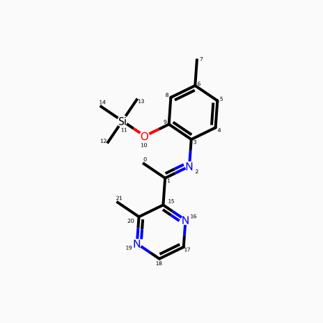 CC(=Nc1ccc(C)cc1O[Si](C)(C)C)c1nccnc1C